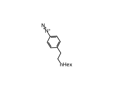 CCCCCCCCc1ccc([N+]#N)cc1